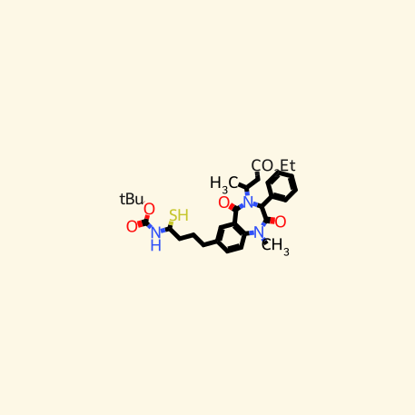 CCOC(=O)CC(C)N1C(=O)c2cc(CCCC(S)NC(=O)OC(C)(C)C)ccc2N(C)C(=O)C1c1ccccc1